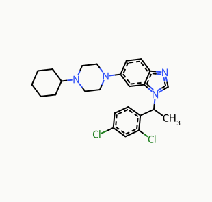 CC(c1ccc(Cl)cc1Cl)n1cnc2ccc(N3CCN(C4CCCCC4)CC3)cc21